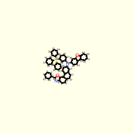 c1ccc(-c2nc3ccc4ccc5cc(N(c6cccc(S(c7ccccc7)(c7ccccc7)c7ccccc7)c6)c6ccc7c(c6)oc6ccccc67)ccc5c4c3o2)cc1